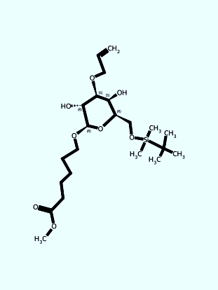 C=CCO[C@H]1[C@@H](O)[C@@H](CO[Si](C)(C)C(C)(C)C)O[C@@H](OCCCCCC(=O)OC)[C@@H]1O